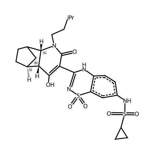 CC(C)CCN1C(=O)C(C2=NS(=O)(=O)c3cc(NS(=O)(=O)C4CC4)ccc3N2)=C(O)[C@@H]2[C@H]3CCC(C3)[C@@H]21